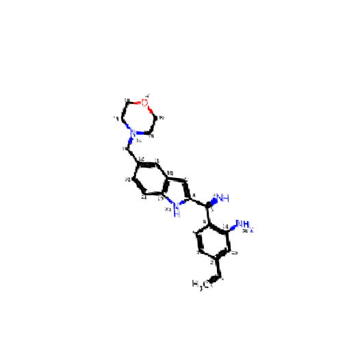 C=Cc1ccc(C(=N)c2cc3cc(CN4CCOCC4)ccc3[nH]2)c(N)c1